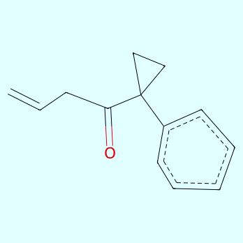 C=CCC(=O)C1(c2ccccc2)CC1